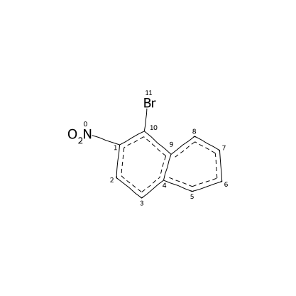 O=[N+]([O-])c1ccc2ccccc2c1Br